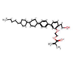 C=C(C)C(=O)OCCOc1cc(-c2ccc(C3CCC(C4CCC(CCCCC)CC4)CC3)cc2)ccc1CCO